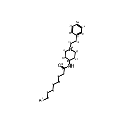 O=C(CCCCCCCBr)NC1CCN(CCc2ccccc2)CC1